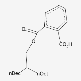 CCCCCCCCCCC(CCCCCCCC)COC(=O)c1ccccc1C(=O)O